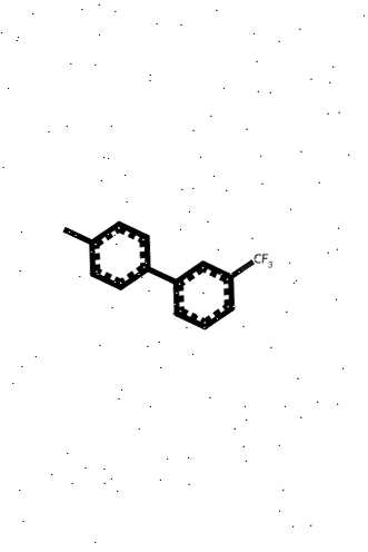 Cc1ccc(-c2[c]ccc(C(F)(F)F)c2)cc1